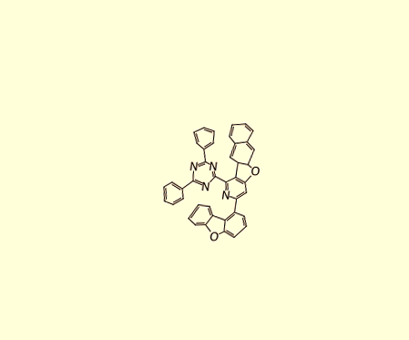 C1=c2ccccc2=CC2c3c(cc(-c4cccc5oc6ccccc6c45)nc3-c3nc(-c4ccccc4)nc(-c4ccccc4)n3)OC12